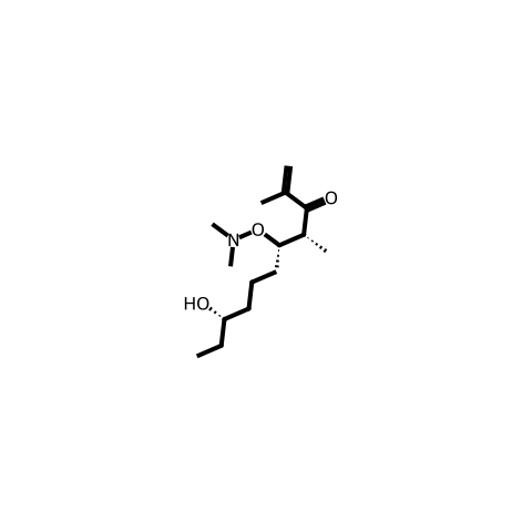 C=C(C)C(=O)[C@H](C)[C@H](CCC[C@@H](O)CC)ON(C)C